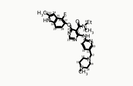 CCN(C)C(=O)c1c(Nc2ccc(CN3CCN(C)CC3)cn2)ncnc1Oc1ccc2[nH]c(C)cc2c1F